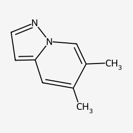 Cc1cc2ccnn2cc1C